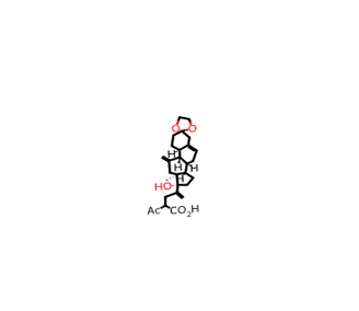 C=C1C[C@@]2(C)[C@@H](CC[C@@]2(O)C(=C)CC(C(C)=O)C(=O)O)[C@@H]2CC=C3CC4(CC[C@@H]3[C@@H]12)OCCO4